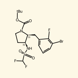 CC(C)(C)OC(=O)N1CC[C@H](NS(=O)(=O)C(F)F)[C@@H]1Cc1cccc(Br)c1F